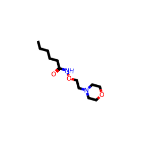 CCCCCC(=O)NOCCN1CCOCC1